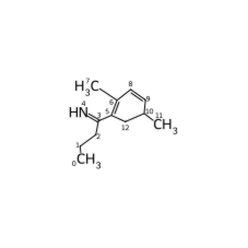 CCCC(=N)C1=C(C)C=CC(C)C1